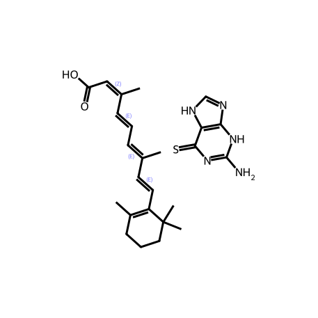 CC1=C(/C=C/C(C)=C/C=C/C(C)=C\C(=O)O)C(C)(C)CCC1.Nc1nc(=S)c2[nH]cnc2[nH]1